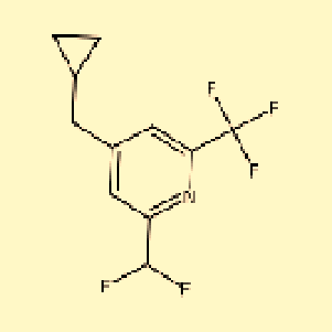 FC(F)c1cc(CC2CC2)cc(C(F)(F)F)n1